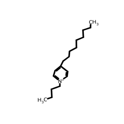 CCCCCCCCCc1cc[n+](CCCC)cc1